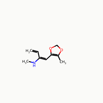 C=C/C(=C\C1=C(C)OCO1)NC